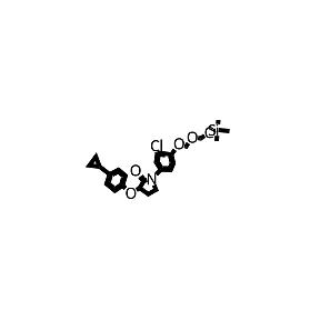 C[Si](C)(C)CCOCOc1ccc(N2CCC(Oc3ccc(C4CC4)cc3)C2=O)cc1Cl